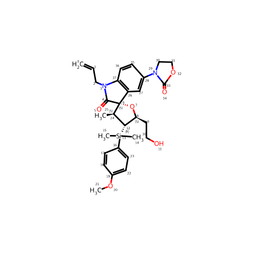 C=CCN1C(=O)[C@@]2(O[C@@H](CCO)[C@H]([Si](C)(C)c3ccc(OC)cc3)[C@H]2C)c2cc(N3CCOC3=O)ccc21